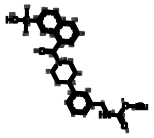 CC(C)(C)OC(=O)NCc1cccc(C2CCN(C(=O)c3cccc4ccc([Si](C)(C)O)cc34)CC2)c1